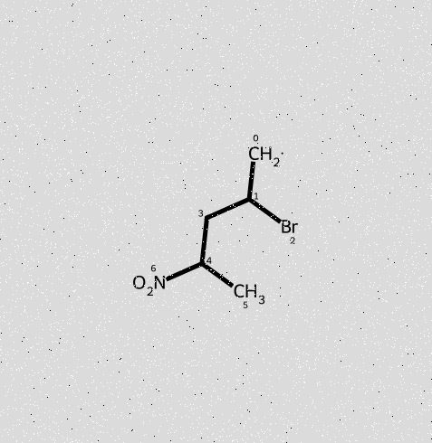 [CH2]C(Br)CC(C)[N+](=O)[O-]